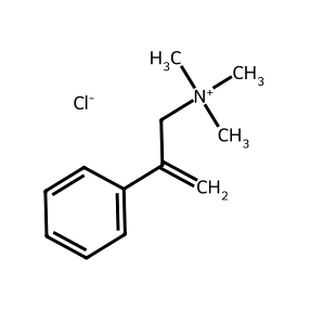 C=C(C[N+](C)(C)C)c1ccccc1.[Cl-]